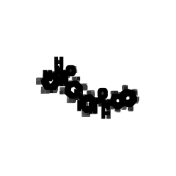 O=C(NC1Cc2ccccc2C1)c1cc(N2CCC(n3c(=O)[nH]c4ncccc43)CC2)ncn1